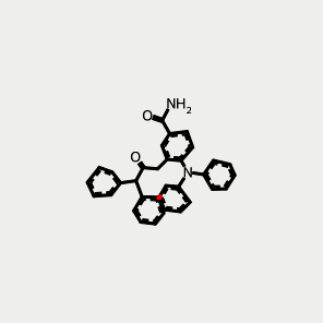 NC(=O)c1ccc(N(c2ccccc2)c2ccccc2)c(CC(=O)C(c2ccccc2)c2ccccc2)c1